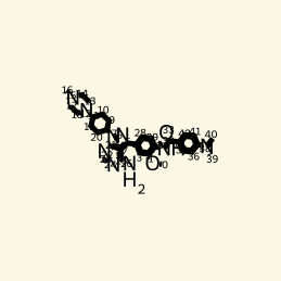 COc1cc(-c2nn([C@H]3CC[C@H](N4CCN(C)CC4)CC3)c3ncnc(N)c23)ccc1NC(=O)c1ccc(N(C)C)cc1